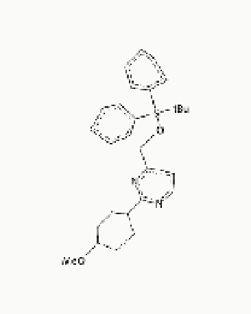 COC1CCC(c2nccc(CO[Si](c3ccccc3)(c3ccccc3)C(C)(C)C)n2)CC1